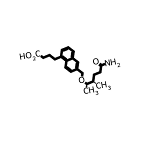 C[C@@H](CCC(N)=O)[C@@H](C)OCc1ccc2c(CCCC(=O)O)cccc2c1